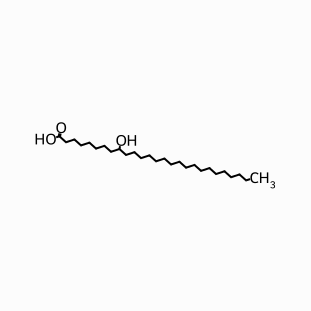 CCCCCCCCCCCCCCCCCCC(O)CCCCCCCC(=O)O